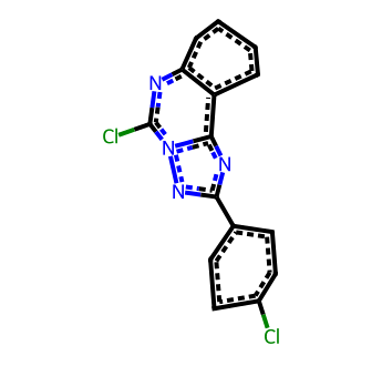 Clc1ccc(-c2nc3c4ccccc4nc(Cl)n3n2)cc1